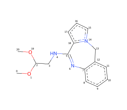 COC(CNC1=Nc2ccccc2Cn2cccc21)OC